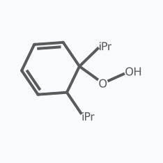 CC(C)C1C=CC=CC1(OO)C(C)C